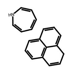 C1=CC=CNC=C1.C1=Cc2cccc3cccc(c23)C1